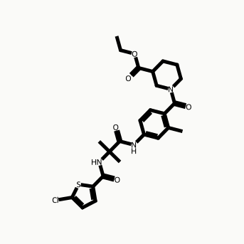 CCOC(=O)C1CCCN(C(=O)c2ccc(NC(=O)C(C)(C)NC(=O)c3ccc(Cl)s3)cc2C)C1